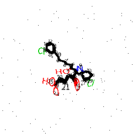 Cn1c(C(O)CCCCCc2cccc(Cl)c2)c(C(=O)CCCC(=O)O)c2cc(Cl)ccc21